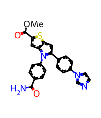 COC(=O)c1cc2c(cc(-c3ccc(-n4ccnc4)cc3)n2-c2ccc(C(N)=O)cc2)s1